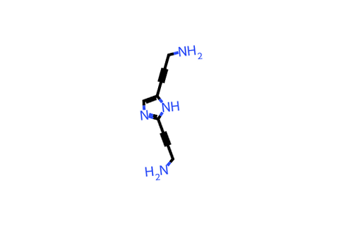 NCC#Cc1cnc(C#CCN)[nH]1